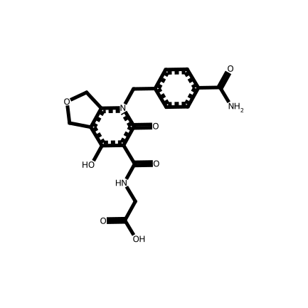 NC(=O)c1ccc(Cn2c3c(c(O)c(C(=O)NCC(=O)O)c2=O)COC3)cc1